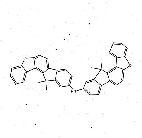 CC1(C)c2cc(Nc3ccc4c(c3)C(C)(C)c3c-4ccc4oc5ccccc5c34)ccc2-c2ccc3oc4ccccc4c3c21